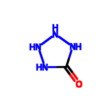 O=C1NNNN1